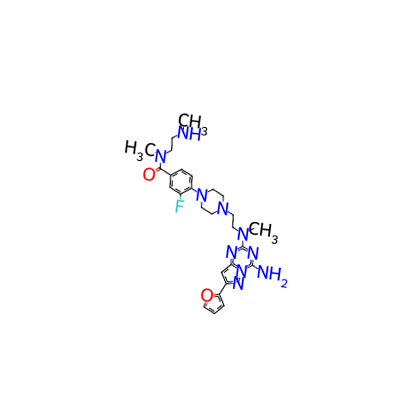 CNCCN(C)C(=O)c1ccc(N2CCN(CCN(C)c3nc(N)n4nc(-c5ccco5)cc4n3)CC2)c(F)c1